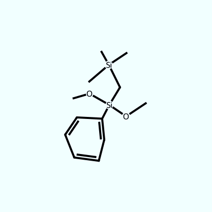 CO[Si](C[Si](C)(C)C)(OC)c1ccccc1